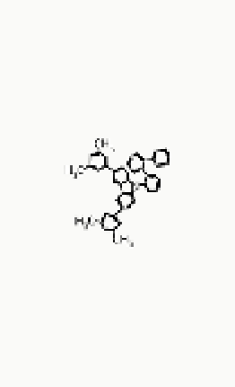 Cc1cc(C)cc(-c2ccc3c(c2)c2cc(-c4cc(C)cc(C)c4)ccc2n3-c2ccccc2-c2ccccc2-c2ccccc2)c1